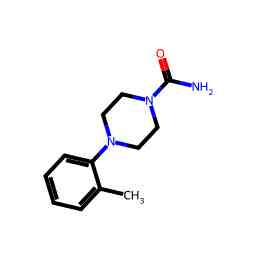 Cc1ccccc1N1CCN(C(N)=O)CC1